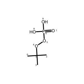 CC(C)(C)OOP(=O)(O)O